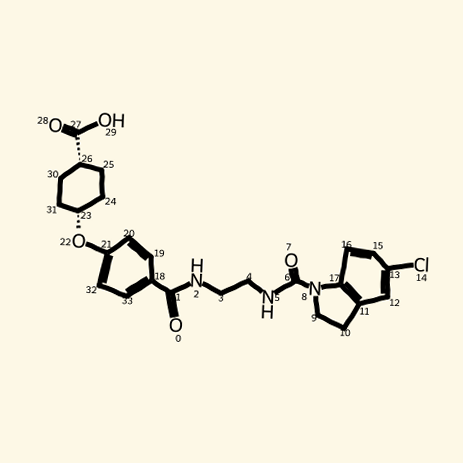 O=C(NCCNC(=O)N1CCc2cc(Cl)ccc21)c1ccc(O[C@H]2CC[C@@H](C(=O)O)CC2)cc1